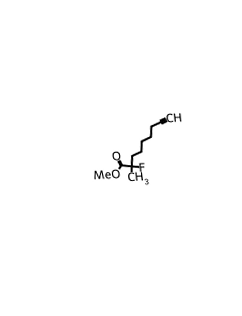 C#CCCCCCC(C)(F)C(=O)OC